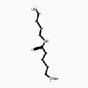 COCCCCC(=O)NCCCCC(C)(C)C